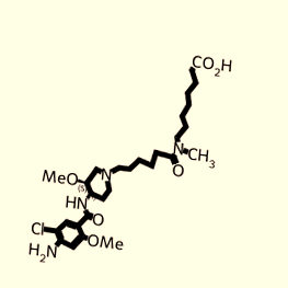 COc1cc(N)c(Cl)cc1C(=O)N[C@@H]1CCN(CCCCCC(=O)N(C)CCCCCCCC(=O)O)C[C@@H]1OC